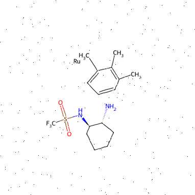 Cc1cccc(C)c1C.N[C@@H]1CCCC[C@H]1NS(=O)(=O)C(F)(F)F.[Ru]